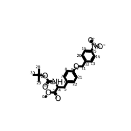 COC(=O)C(Cc1ccc(OCc2ccc([N+](=O)[O-])cc2)cc1)NC(=O)OC(C)(C)C